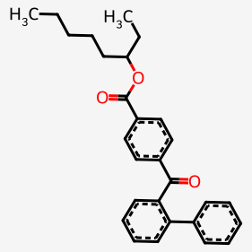 CCCCCC(CC)OC(=O)c1ccc(C(=O)c2ccccc2-c2ccccc2)cc1